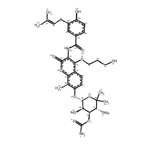 CO[C@@H]1[C@@H](OC(N)=O)[C@@H](O)[C@H](Oc2ccc3c(OCCCO)c(NC(=O)c4ccc(O)c(CC=C(C)C)c4)c(=O)oc3c2C)OC1(C)C